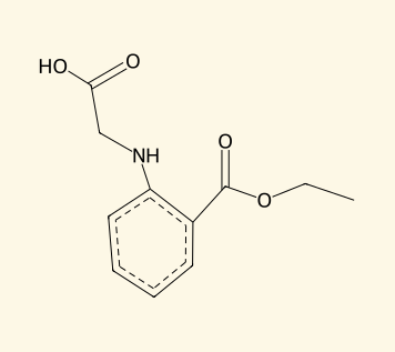 CCOC(=O)c1ccccc1NCC(=O)O